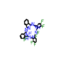 Fc1cc2c3[nH]c(c2cc1F)N(F)C1(F)N=C(NC2(F)N/C(=N\C4=NC(=N\3)/c3ccccc34)c3cccc(F)c32)c2c1ccc(F)c2F